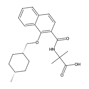 CC(C)(NC(=O)c1ccc2ccccc2c1OC[C@H]1CC[C@@H](C)CC1)C(=O)O